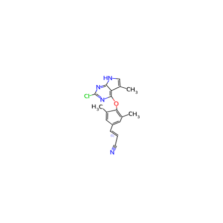 Cc1cc(/C=C/C#N)cc(C)c1Oc1nc(Cl)nc2[nH]cc(C)c12